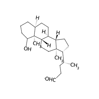 C[C@H](CC[C]=O)[C@H]1CC[C@H]2[C@@H]3CC[C@@H]4CCCC(O)[C@]4(C)[C@H]3CC[C@]12C